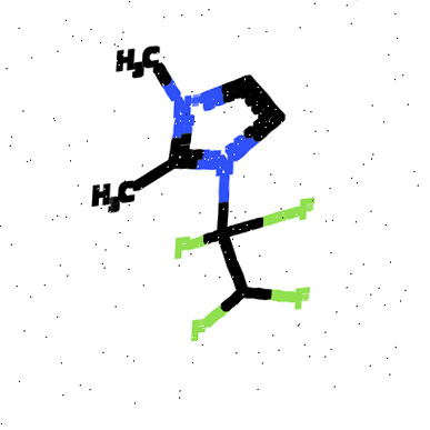 Cc1n(C(F)(F)C(F)F)cc[n+]1C